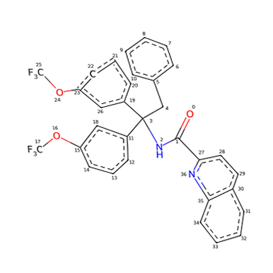 O=C(NC(Cc1ccccc1)(c1cccc(OC(F)(F)F)c1)c1cccc(OC(F)(F)F)c1)c1ccc2ccccc2n1